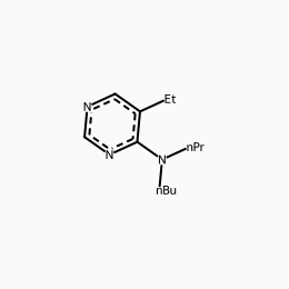 CCCCN(CCC)c1ncncc1CC